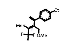 C=C(/C(COC)=C(\SC)C(C)(F)F)c1ccc(CC)cc1